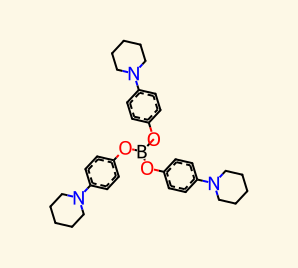 c1cc(N2CCCCC2)ccc1OB(Oc1ccc(N2CCCCC2)cc1)Oc1ccc(N2CCCCC2)cc1